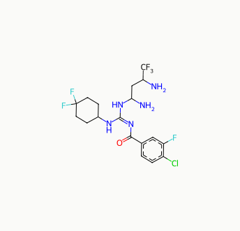 NC(CC(N)C(F)(F)F)N/C(=N/C(=O)c1ccc(Cl)c(F)c1)NC1CCC(F)(F)CC1